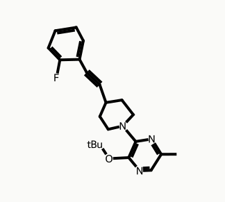 Cc1cnc(OC(C)(C)C)c(N2CCC(C#Cc3ccccc3F)CC2)n1